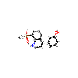 CS(=O)(=O)c1cccc2c(-c3cccc(O)c3)ccnc12